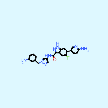 Nc1cccc(Cn2cc(NC(=O)c3n[nH]c4cc(-c5ccc(N)nc5)c(F)cc34)cn2)c1